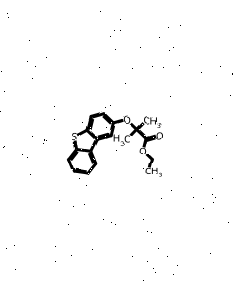 CCOC(=O)C(C)(C)Oc1ccc2sc3ccccc3c2c1